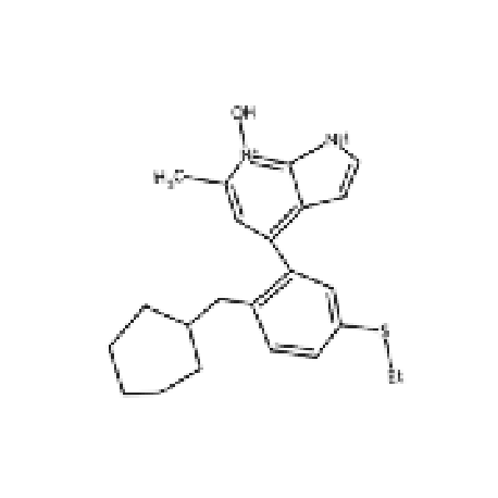 CCSc1ccc(CC2CCCCC2)c(-c2cc(C)[n+](O)c3[nH]ccc23)c1